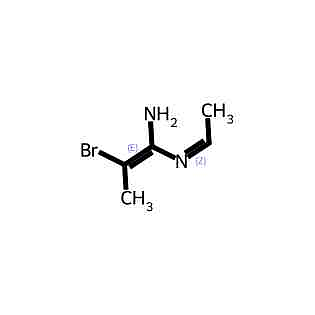 C/C=N\C(N)=C(/C)Br